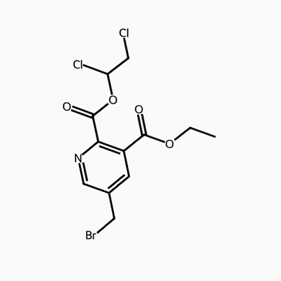 CCOC(=O)c1cc(CBr)cnc1C(=O)OC(Cl)CCl